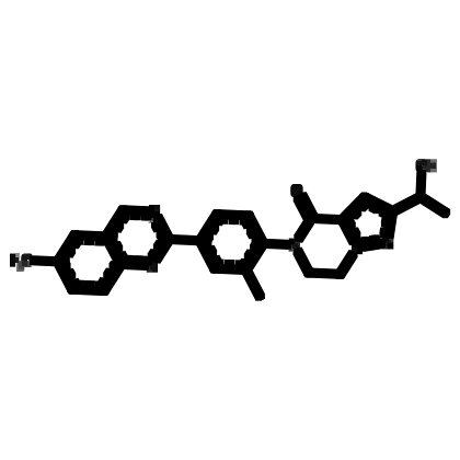 Cc1cc(-c2ncc3cc(C(F)(F)F)ccc3n2)ccc1N1CCn2nc(C(C)O)cc2C1=O